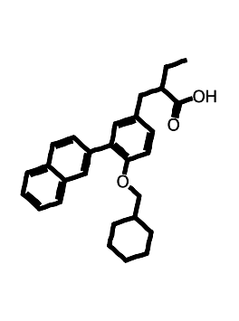 CCC(Cc1ccc(OCC2CCCCC2)c(-c2ccc3ccccc3c2)c1)C(=O)O